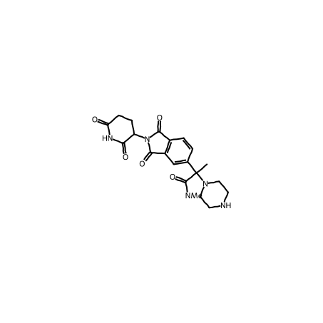 CNC(=O)C(C)(c1ccc2c(c1)C(=O)N(C1CCC(=O)NC1=O)C2=O)N1CCNCC1